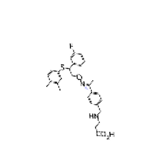 C/C(=N\OCC(Sc1ccc(C)c(C)c1)c1cccc(F)c1)c1ccc(CNCCC(=O)O)cc1